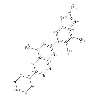 Cc1c(O)c(-c2cc(C(F)(F)F)c3cc(N4CCNCC4)cnc3n2)cc2cn(C)nc12